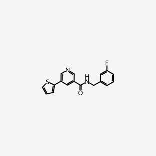 O=C(NCc1cccc(F)c1)c1cncc(-c2cccs2)c1